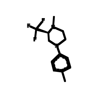 Cc1ccc(N2CCN(C)[C@H](C(F)(F)F)C2)cc1